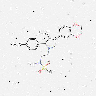 CCCCN(CCN1CC(c2ccc3c(c2)OCCO3)C(C(=O)O)C1c1ccc(OC)cc1)S(=O)(=O)CCC